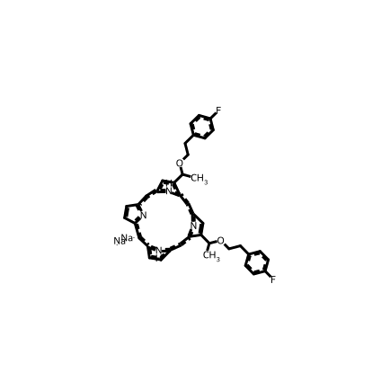 CC(OCCc1ccc(F)cc1)C1=Cc2cc3[nH]c(cc4nc(cc5ccc(cc1n2)[nH]5)C=C4)cc3C(C)OCCc1ccc(F)cc1.[Na].[Na]